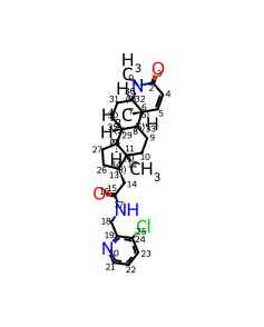 CN1C(=O)C=C[C@]2(C)[C@H]3CC[C@]4(C)[C@@H](CC(=O)NCc5ncccc5Cl)CC[C@H]4[C@@H]3CC[C@@H]12